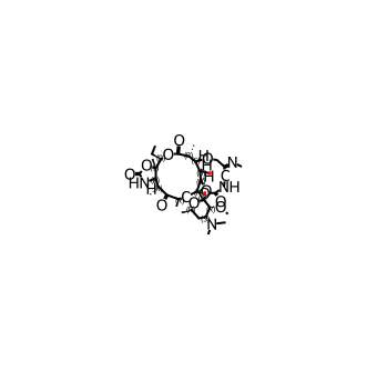 CC[C@H]1OC(=O)[C@H](C)[C@H]2OCC(=NC)CNC(=O)O[C@](C)(C[C@@H](C)C(=O)[C@H](C)[C@H]3NC(=O)O[C@@]31C)[C@H](O[C@@H]1O[C@H](C)C[C@H](N(C)C)[C@H]1OC)[C@H]2C